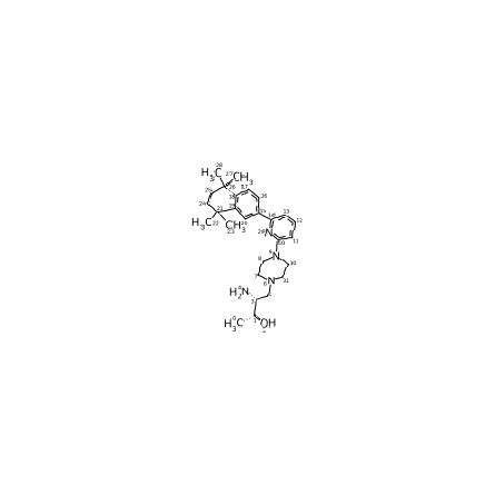 C[C@@H](O)[C@H](N)CN1CCN(c2cccc(-c3ccc4c(c3)C(C)(C)CCC4(C)C)n2)CC1